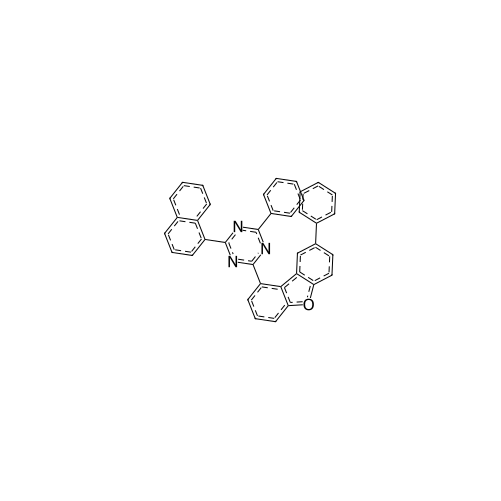 c1ccc(-c2ccc3oc4cccc(-c5nc(-c6ccccc6)nc(-c6cccc7ccccc67)n5)c4c3c2)cc1